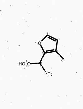 Cc1ccoc1C(N)C(=O)O